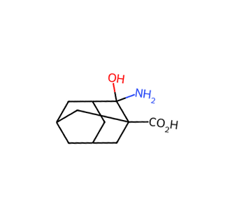 NC1(O)C2CC3CC(C2)CC1(C(=O)O)C3